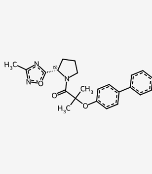 Cc1noc([C@@H]2CCCN2C(=O)C(C)(C)Oc2ccc(-c3ccccc3)cc2)n1